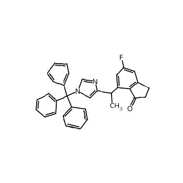 CC(c1cn(C(c2ccccc2)(c2ccccc2)c2ccccc2)cn1)c1cc(F)cc2c1C(=O)CC2